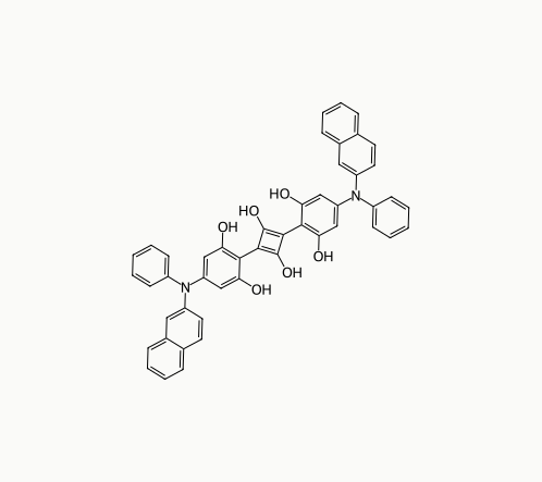 OC1=C(c2c(O)cc(N(c3ccccc3)c3ccc4ccccc4c3)cc2O)C(O)=C1c1c(O)cc(N(c2ccccc2)c2ccc3ccccc3c2)cc1O